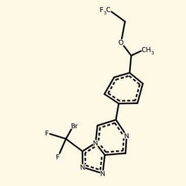 CC(OCC(F)(F)F)c1ccc(-c2cn3c(C(F)(F)Br)nnc3cn2)cc1